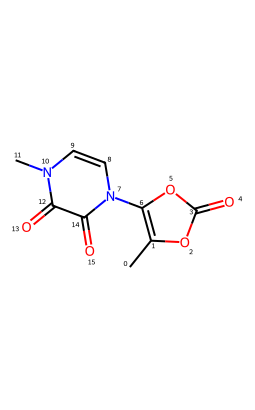 Cc1oc(=O)oc1-n1ccn(C)c(=O)c1=O